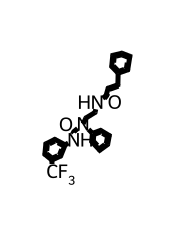 O=C(C=Cc1ccccc1)NCCN(C(=O)Nc1cccc(C(F)(F)F)c1)c1ccccc1